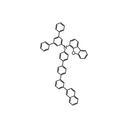 c1ccc(-c2cc(-c3ccccc3)cc(N(c3ccc(-c4ccc(-c5cccc(-c6ccc7ccccc7c6)c5)cc4)cc3)c3cccc4c3oc3ccccc34)c2)cc1